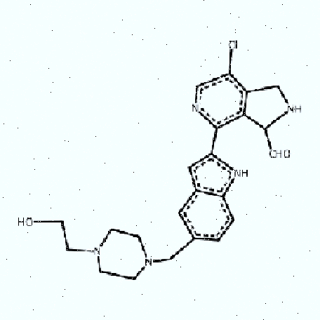 O=CC1NCc2c(Cl)cnc(-c3cc4cc(CN5CCN(CCO)CC5)ccc4[nH]3)c21